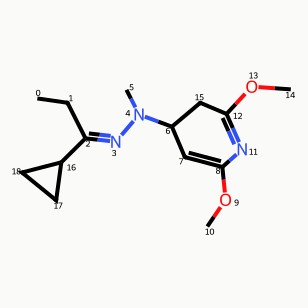 CC/C(=N\N(C)C1C=C(OC)N=C(OC)C1)C1CC1